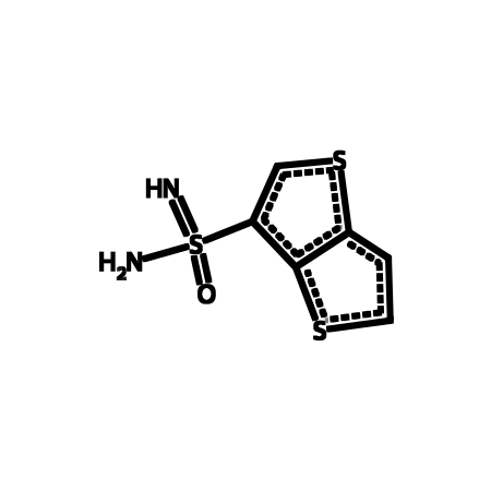 N=S(N)(=O)c1csc2ccsc12